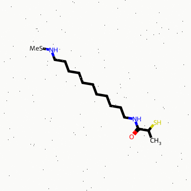 CSNCCCCCCCCCCCNC(=O)C(C)S